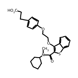 CN(C(=O)c1sc2ccccc2c1OCCOc1ccc(CCC(=O)O)cc1)C1CCCCC1